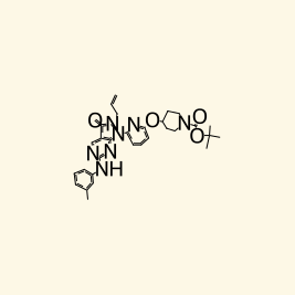 C=CCn1c(=O)c2cnc(Nc3cccc(C)c3)nc2n1-c1cccc(OC2CCN(C(=O)OC(C)(C)C)CC2)n1